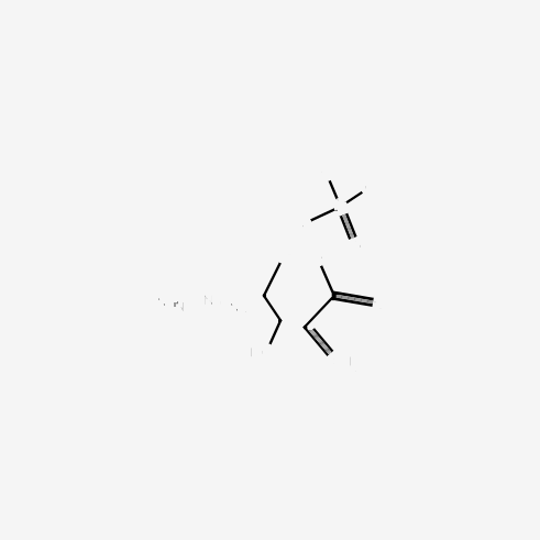 C=CC(=O)[O-].O=P([O-])([O-])[O-].OCCO.[Na+].[Na+].[Na+].[Na+]